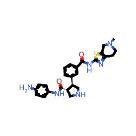 CN1CCc2nc(NC(=O)c3cccc([C@H]4CNC[C@@H]4C(=O)Nc4ccc(N)cc4)c3)sc2C1